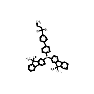 C=CCC(CC)(CC)c1ccc(-c2ccc(N(c3ccc4c(c3)C(C)(C)c3ccccc3-4)c3ccc4c(c3)C(C)(C)c3ccccc3-4)cc2)cc1